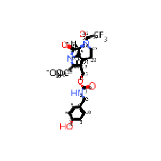 O=C(NCc1ccc(O)cc1)OCC1=C(C(=O)[O-])N2C(=O)[C@@H]3[C@H]2C1CCN3C(=O)C(F)(F)F.[Na+]